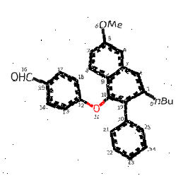 CCCCc1cc2cc(OC)ccc2c(Oc2ccc(C=O)cc2)c1-c1ccccc1